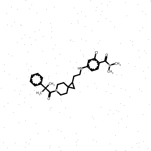 CN(C)C(=O)c1ccc(NCCC2CC23CCN(C(=O)C(C)(C)c2ccccc2)CC3)cc1Cl